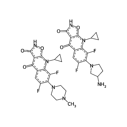 CN1CCN(c2c(F)cc3c(=O)c4c(=O)[nH]oc4n(C4CC4)c3c2F)CC1.NC1CCN(c2c(F)cc3c(=O)c4c(=O)[nH]oc4n(C4CC4)c3c2F)C1